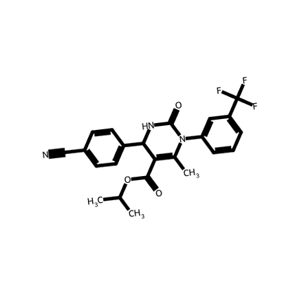 CC1=C(C(=O)OC(C)C)C(c2ccc(C#N)cc2)NC(=O)N1c1cccc(C(F)(F)F)c1